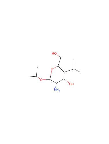 CC(C)OC1OC(CO)C(C(C)C)C(O)C1N